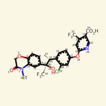 CCN1C(=O)COc2ccc([C@](O)([C@H](C)c3ccc(Oc4cc(C(F)(F)F)c(C(=O)O)cn4)cc3Cl)C(F)(F)F)cc21